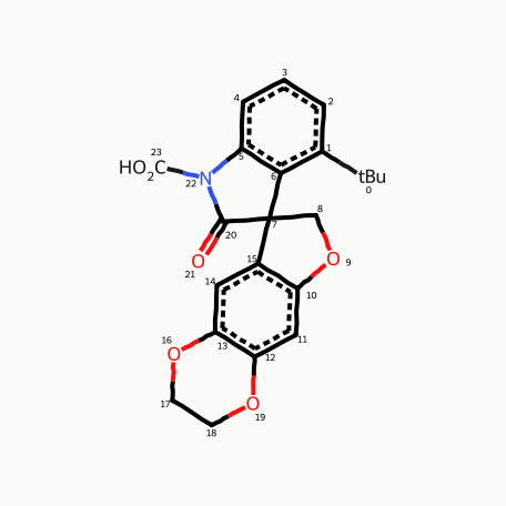 CC(C)(C)c1cccc2c1C1(COc3cc4c(cc31)OCCO4)C(=O)N2C(=O)O